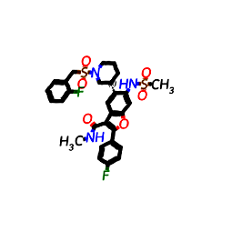 CNC(=O)c1c(-c2ccc(F)cc2)oc2cc(NS(C)(=O)=O)c([C@H]3CCCN(S(=O)(=O)Cc4ccccc4F)C3)cc12